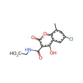 Cc1cc(Cl)cc2c(O)c(C(=O)NCC(=O)O)c(=O)oc12